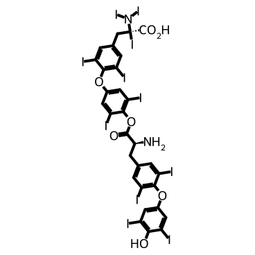 N[C@@H](Cc1cc(I)c(Oc2cc(I)c(O)c(I)c2)c(I)c1)C(=O)Oc1c(I)cc(Oc2c(I)cc(C[C@@](I)(C(=O)O)N(I)I)cc2I)cc1I